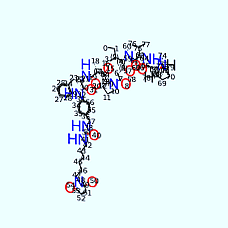 CC[C@H](C)[C@@H]([C@@H](CC(=O)N1CCC[C@H]1[C@H](OC)[C@@H](C)C(=O)N[C@@H](Cc1ccccc1)C(=O)Nc1ccc(CNC(=O)NCCCCCCN2C(=O)C=CC2=O)cc1)OC)N(C)C(=O)[C@@H](NC(=O)[C@@H]1[C@H]2CC[C@H](C2)N1C)C(C)C